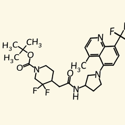 Cc1ccnc2c(C(F)(F)F)ccc(N3CCC(NC(=O)CC4CCN(C(=O)OC(C)(C)C)CC4(F)F)C3)c12